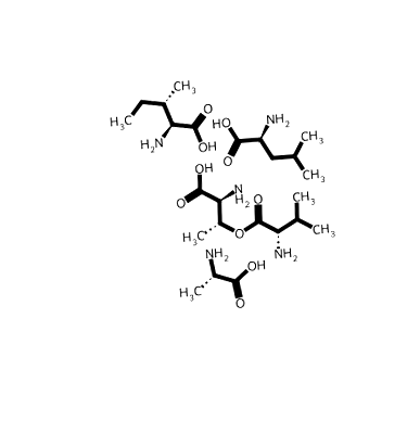 CC(C)C[C@H](N)C(=O)O.CC(C)[C@H](N)C(=O)O[C@H](C)[C@H](N)C(=O)O.CC[C@H](C)[C@H](N)C(=O)O.C[C@H](N)C(=O)O